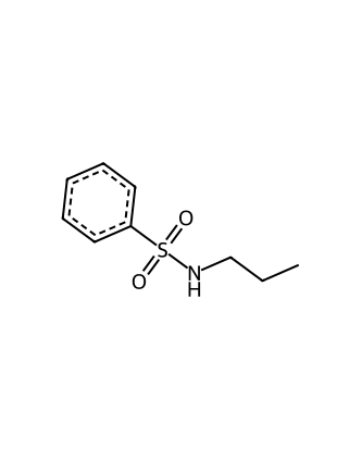 CCCNS(=O)(=O)c1ccccc1